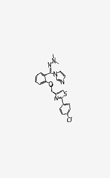 CN(C)N=C(c1ccccc1OCc1csc(-c2ccc(Cl)cc2)n1)n1ccnc1